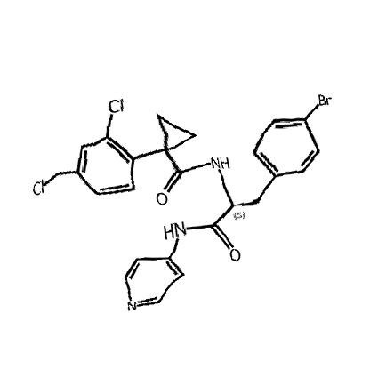 O=C(Nc1ccncc1)[C@H](Cc1ccc(Br)cc1)NC(=O)C1(c2ccc(Cl)cc2Cl)CC1